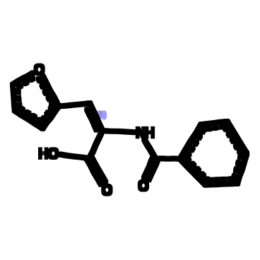 O=C(O)/C(=C\c1ccco1)NC(=O)c1ccccc1